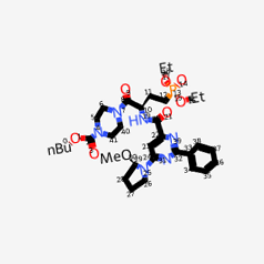 CCCCOC(=O)N1CCN(C(=O)[C@@H](CCP(=O)(OCC)OCC)NC(=O)c2cc(N3CCC[C@@H]3OC)nc(-c3ccccc3)n2)CC1